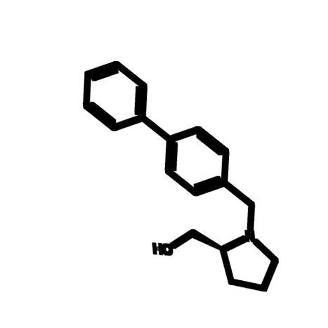 OC[C@@H]1CCCN1Cc1ccc(-c2ccccc2)cc1